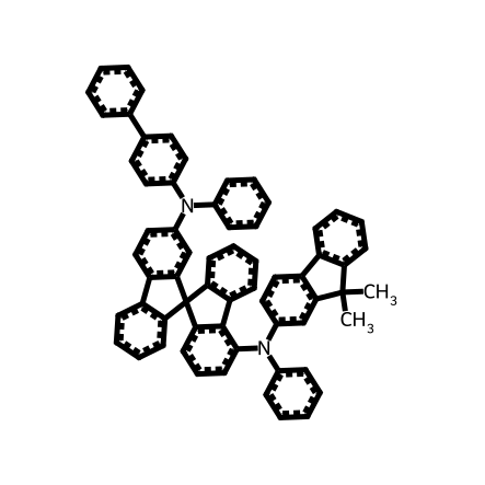 CC1(C)c2ccccc2-c2ccc(N(c3ccccc3)c3cccc4c3-c3ccccc3C43c4ccccc4-c4ccc(N(c5ccccc5)c5ccc(-c6ccccc6)cc5)cc43)cc21